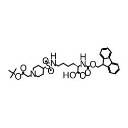 CC(C)(C)OC(=O)CN1CCC(S(=O)(=O)NCCCC[C@@H](NC(=O)OCC2c3ccccc3-c3ccccc32)C(=O)O)CC1